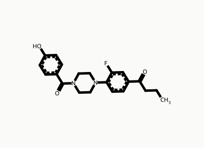 CCCC(=O)c1ccc(N2CCN(C(=O)c3ccc(O)cc3)CC2)c(F)c1